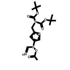 CC(=O)ON(C=N)c1csc(CN(C(=O)OC(C)(C)C)C(=O)OC(C)(C)C)c1